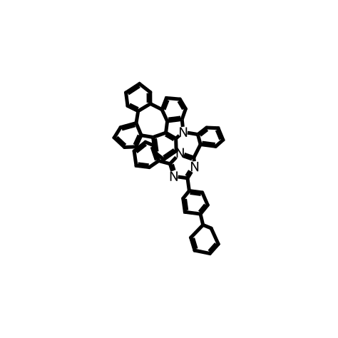 C1=CCC(c2ccc(-c3nc(-c4ccccc4)nc(-c4ccccc4-n4c5cccc6c7ccccc7c7ccccc7c7cccc4c7c65)n3)cc2)C=C1